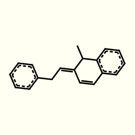 CC1C(=CCc2ccccc2)C=Cc2ccccc21